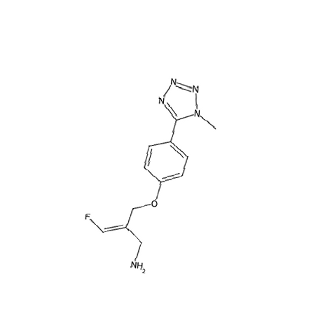 Cn1nnnc1-c1ccc(OC/C(=C\F)CN)cc1